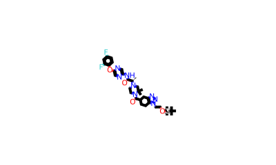 C[C@@H](C(=O)Nc1cnc(Oc2ccc(F)cc2F)cn1)N1CCN(C(=O)C2CCc3c(nnn3CCO[Si](C)(C)C(C)(C)C)C2)C(C)(C)C1